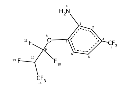 Nc1cc(C(F)(F)F)ccc1OC(F)(F)C(F)C(F)(F)F